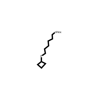 CCCCCCCCCCCC[P]C1CCC1